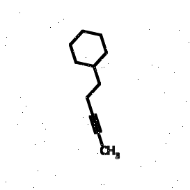 CC#CCCC1CCCCC1